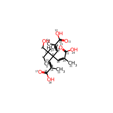 CCC(C)(CO)C(C=C(C)C(=O)O)(C=C(C)C(=O)O)C=C(C)C(=O)O